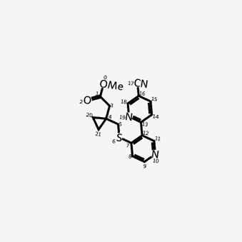 COC(=O)CC1(CSc2ccncc2-c2ccc(C#N)cn2)CC1